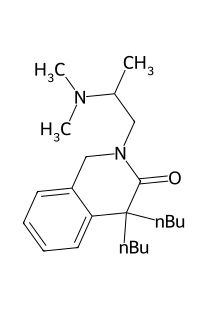 CCCCC1(CCCC)C(=O)N(CC(C)N(C)C)Cc2ccccc21